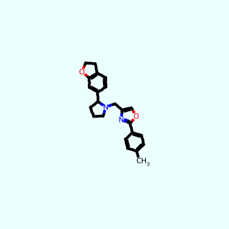 Cc1ccc(-c2nc(CN3CCCC3c3ccc4c(c3)OCC4)co2)cc1